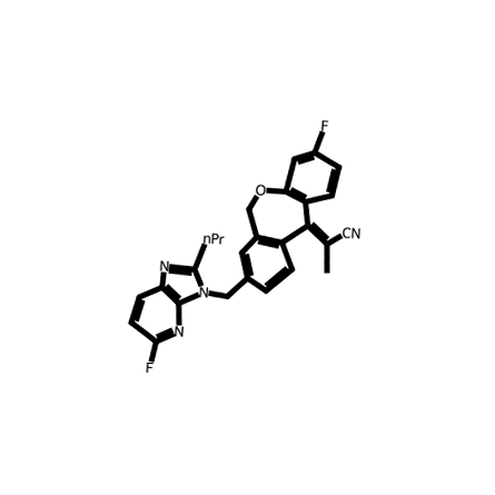 CCCc1nc2ccc(F)nc2n1Cc1ccc2c(c1)COc1cc(F)ccc1/C2=C(/C)C#N